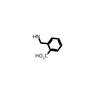 [NH]Cc1ccccc1C(=O)O